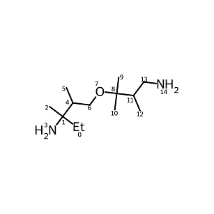 CCC(C)(N)C(C)COC(C)(C)C(C)CN